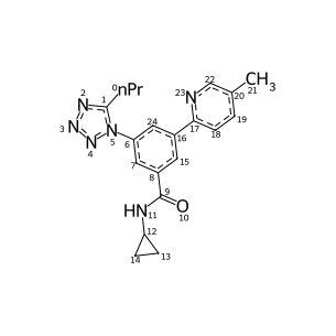 CCCc1nnnn1-c1cc(C(=O)NC2CC2)cc(-c2ccc(C)cn2)c1